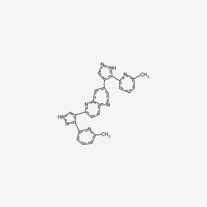 Cc1cccc(-c2n[nH]cc2-c2ccc3ncc(-c4cn[nH]c4-c4cccc(C)n4)cc3n2)n1